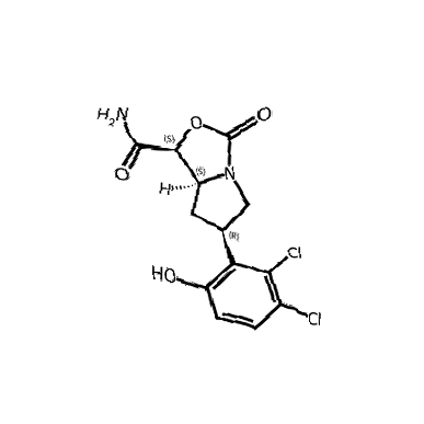 NC(=O)[C@H]1OC(=O)N2C[C@@H](c3c(O)ccc(Cl)c3Cl)C[C@@H]12